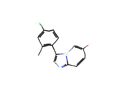 Cc1cc(Cl)ccc1-c1cnc2ccc(Br)cn12